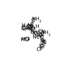 Cl.Cl.N#Cc1c(N)nc(SCc2csc(-c3ccc(Cl)cc3)n2)c(C#N)c1-c1ccc(OCCN(C(=O)[C@@H](N)CCCCN)[C@@H](Cc2ccccc2)C(=O)O)cc1